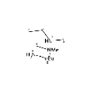 CCCCN.CCNC.CNC